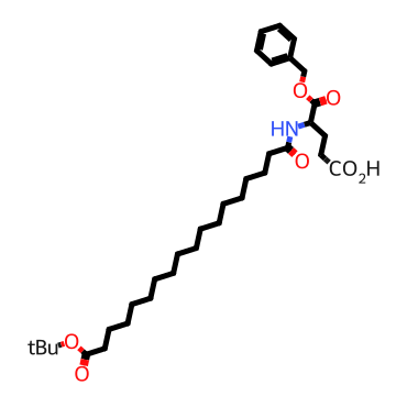 CC(C)(C)OC(=O)CCCCCCCCCCCCCCCCC(=O)NC(CCC(=O)O)C(=O)OCc1ccccc1